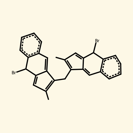 CC1=C(CC2=C(C)C=C3C2=Cc2ccccc2C3Br)C2=Cc3ccccc3C(Br)C2=C1